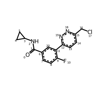 O=C(NC1CC1)c1ccc(F)c(-c2ccc(CCl)nn2)c1